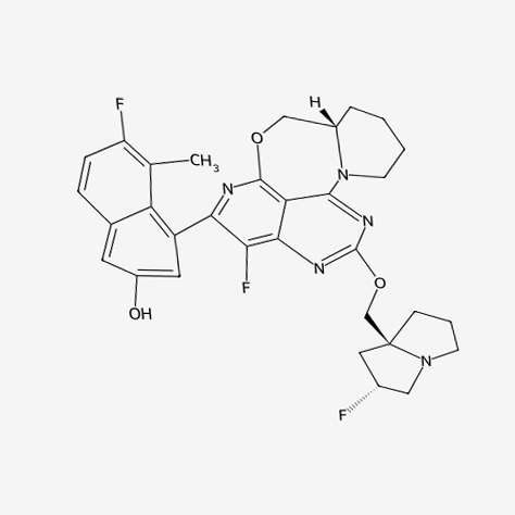 Cc1c(F)ccc2cc(O)cc(-c3nc4c5c(nc(OC[C@@]67CCCN6C[C@H](F)C7)nc5c3F)N3CCCC[C@H]3CO4)c12